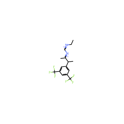 CC/N=C\N=C(/C)C(C)c1cc(C(F)(F)F)cc(C(F)(F)F)c1